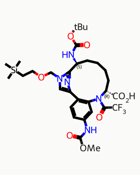 COC(=O)Nc1ccc2c(c1)N(C(=O)C(F)(F)F)[C@@H](C(=O)O)CCCC[C@H](NC(=O)OC(C)(C)C)c1nc-2cn1COCC[Si](C)(C)C